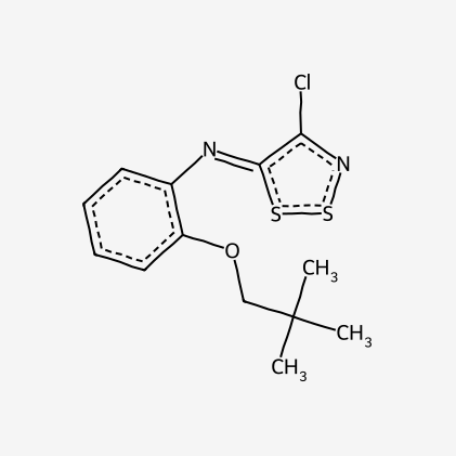 CC(C)(C)COc1ccccc1/N=c1\ssnc1Cl